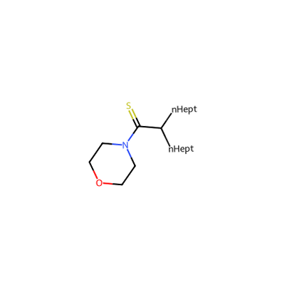 CCCCCCCC(CCCCCCC)C(=S)N1CCOCC1